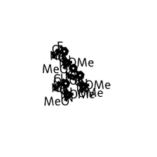 COc1nc(OC)nc(Oc2cccc(-c3ccccc3)c2C(=O)ON(C)C)n1.COc1nc(OC)nc(Oc2cccc(Cl)c2C(=O)ON(C)C)n1.COc1nc(OC)nc(Oc2cccc(F)c2C(=O)ON(C)C)n1